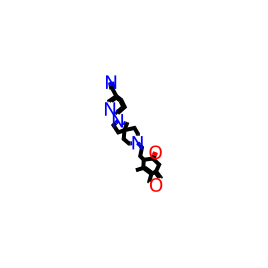 CC1=C2COC=C2CC(=O)C1CCN1CCC2(CC1)CCN(c1ccc(C#N)cn1)C2